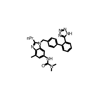 CCCc1nc2c(C)cc(NC(=O)N(C)C)cc2n1Cc1ccc(-c2ccccc2-c2nnn[nH]2)cc1